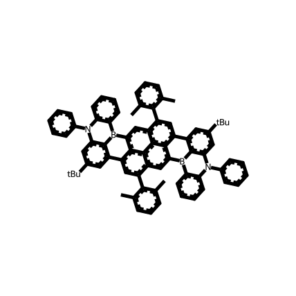 Cc1cccc(C)c1-c1cc2c3c(cc4c(-c5c(C)cccc5C)cc5c6c(cc1c3c46)B1c3ccccc3N(c3ccccc3)c3cc(C(C)(C)C)cc-5c31)B1c3ccccc3N(c3ccccc3)c3cc(C(C)(C)C)cc-2c31